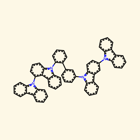 c1cc(-c2ccccc2-n2c3ccccc3c3c(-n4c5ccccc5c5ccccc54)cccc32)cc(-n2c3ccccc3c3cc(-n4c5ccccc5c5ccccc54)ccc32)c1